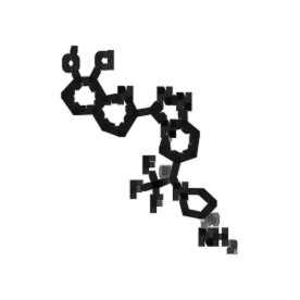 COc1ccc2ccc(-c3nnc4ccc([C@@H](N5CC[C@H](N)C5)C(F)(F)F)cn34)nc2c1Cl